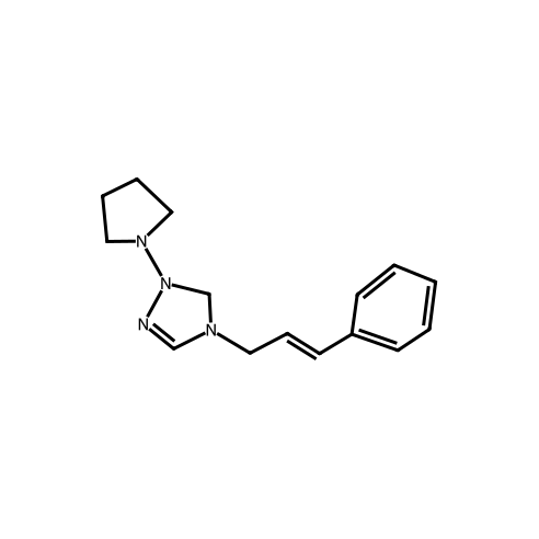 C(=Cc1ccccc1)CN1C=NN(N2CCCC2)C1